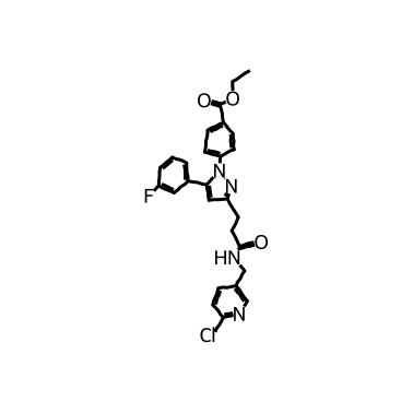 CCOC(=O)c1ccc(-n2nc(CCC(=O)NCc3ccc(Cl)nc3)cc2-c2cccc(F)c2)cc1